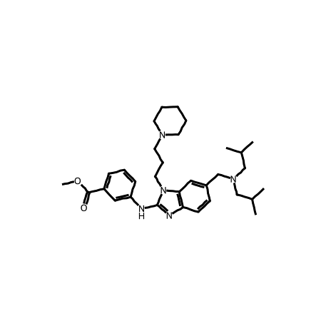 COC(=O)c1cccc(Nc2nc3ccc(CN(CC(C)C)CC(C)C)cc3n2CCCN2CCCCC2)c1